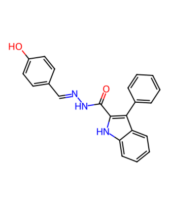 O=C(NN=Cc1ccc(O)cc1)c1[nH]c2ccccc2c1-c1ccccc1